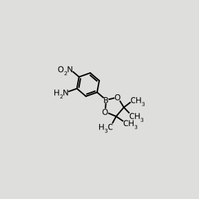 CC1(C)OB(c2ccc([N+](=O)[O-])c(N)c2)OC1(C)C